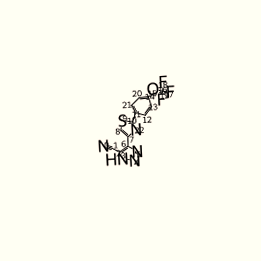 N#Cc1[nH]nnc1-c1csc(-c2ccc(OC(F)(F)F)cc2)n1